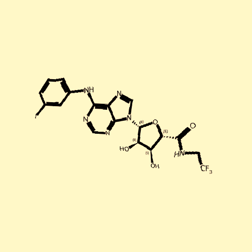 O=C(NCC(F)(F)F)[C@H]1O[C@@H](n2cnc3c(Nc4cccc(I)c4)ncnc32)[C@H](O)[C@@H]1O